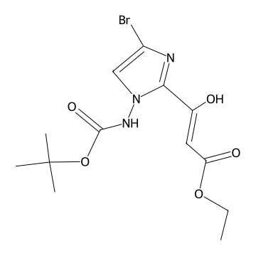 CCOC(=O)/C=C(\O)c1nc(Br)cn1NC(=O)OC(C)(C)C